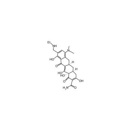 CCNCc1cc(N(C)C)c2c(c1O)C(=O)C1=C(O)[C@]3(O)C(=O)C(C(N)=O)=C(O)C[C@@H]3C[C@@H]1C2